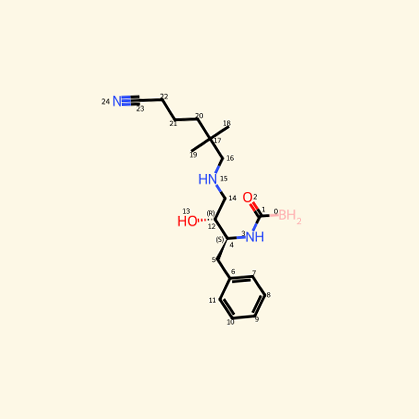 BC(=O)N[C@@H](Cc1ccccc1)[C@H](O)CNCC(C)(C)CCCC#N